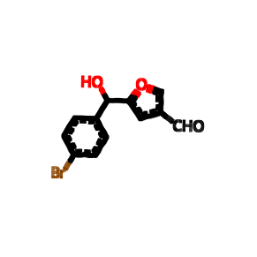 O=Cc1coc(C(O)c2ccc(Br)cc2)c1